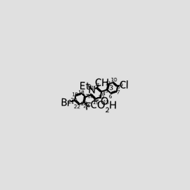 CCn1c(C)c(-c2ccc(Cl)cc2)c(=O)c(C(=O)O)c1-c1ccc(Br)cc1F